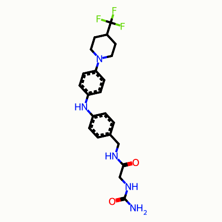 NC(=O)NCC(=O)NCc1ccc(Nc2ccc(N3CCC(C(F)(F)F)CC3)cc2)cc1